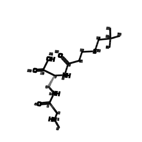 CNCC(=O)NC[C@@H](NC(=O)CCSCC(C)(C)C)C(=O)O